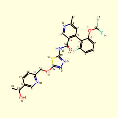 Cc1cc(-c2c(F)cccc2OC(F)F)c(C(=O)Nc2nnc(OCc3ccc([C@H](C)O)cn3)s2)cn1